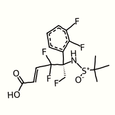 CC(C)(C)[S+]([O-])N[C@](CF)(c1cccc(F)c1F)C(F)(F)/C=C/C(=O)O